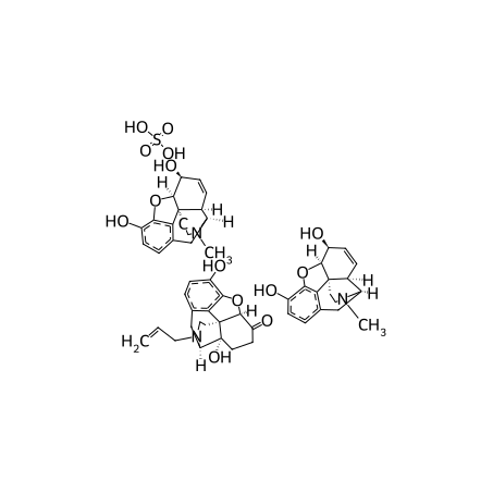 C=CCN1CC[C@]23c4c5ccc(O)c4O[C@H]2C(=O)CC[C@@]3(O)[C@H]1C5.CN1CC[C@]23c4c5ccc(O)c4O[C@H]2[C@@H](O)C=C[C@H]3[C@H]1C5.CN1CC[C@]23c4c5ccc(O)c4O[C@H]2[C@@H](O)C=C[C@H]3[C@H]1C5.O=S(=O)(O)O